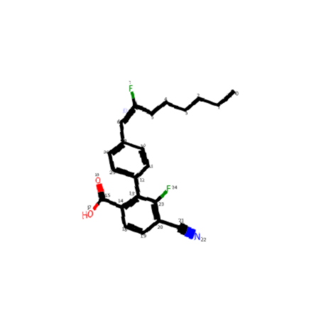 CCCCCC/C(F)=C\c1ccc(-c2c(C(=O)O)ccc(C#N)c2F)cc1